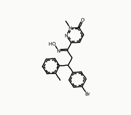 Cc1ccccc1C(C/C(=N/O)c1ccc(=O)n(C)n1)c1ccc(Br)cc1